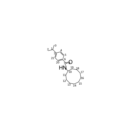 CC(C)c1ccc(C(=O)NC2CCCCCCCCC2)cc1